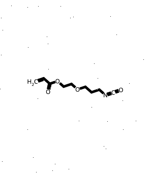 C=CC(=O)OCCOCCCN=C=O